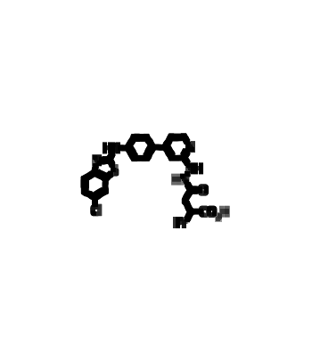 CC(C)C(CC(=O)NNc1cc(-c2ccc(Nc3nc4ccc(Cl)cc4s3)cc2)ccn1)C(=O)O